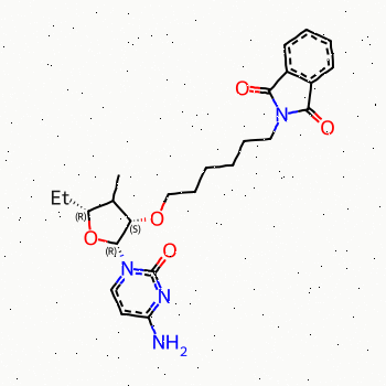 CC[C@H]1O[C@@H](n2ccc(N)nc2=O)[C@@H](OCCCCCCN2C(=O)c3ccccc3C2=O)C1C